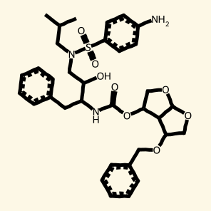 CC(C)CN(CC(O)C(Cc1ccccc1)NC(=O)OC1COC2OCC(OCc3ccccc3)C12)S(=O)(=O)c1ccc(N)cc1